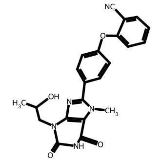 CC(O)Cn1c(=O)[nH]c(=O)c2c1nc(-c1ccc(Oc3ccccc3C#N)cc1)n2C